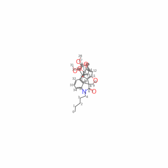 CCCCCN1C(=O)C2(COc3cc4c(cc32)OCO4)c2c(-c3cccc(OC)c3OC)cccc21